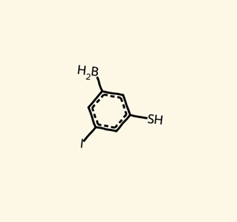 Bc1cc(S)cc(I)c1